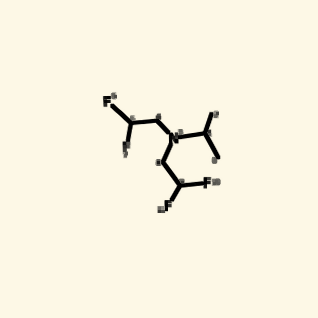 CC(C)N(CC(F)F)CC(F)F